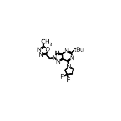 Cc1nnc(Cn2nc3nc(C(C)(C)C)nc(N4CCC(F)(F)C4)c3n2)o1